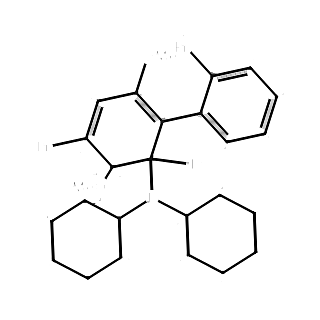 COC1=C(c2ccccc2C(C)C)C(C(C)C)(P(C2CCCCC2)C2CCCCC2)C(OC)C(C(C)C)=C1